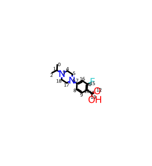 CC(C)N1CCN(c2ccc(C(=O)O)c(F)c2)CC1